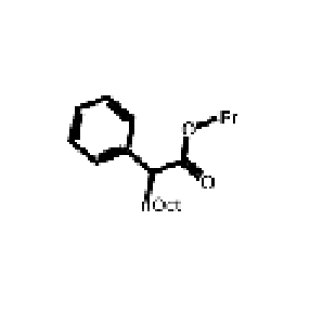 CCCCCCCCC(C(=O)OC(C)C)c1ccccc1